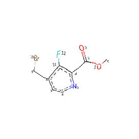 COC(=O)c1nccc(CBr)c1F